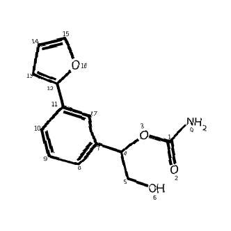 NC(=O)OC(CO)c1cccc(-c2ccco2)c1